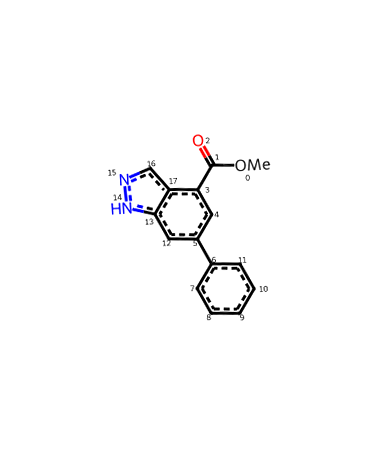 COC(=O)c1cc(-c2ccccc2)cc2[nH]ncc12